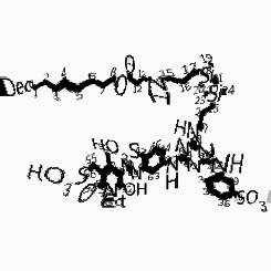 CCCCCCCCCCCCCCCCCCOC(=O)CCNCCC[Si](C)(C)C[Si](C)(C)CCCNc1nc(Nc2cccc(S(=O)(=O)O)c2)nc(Nc2ccc(S(=O)(=O)O)c(/N=N/c3c(C)c(CS(=O)(=O)O)c(=O)n(CC)c3O)c2)n1